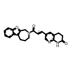 O=C1CCc2cc(/C=C/C(=O)N3CCCc4c(oc5ccccc45)C3)cnc2N1